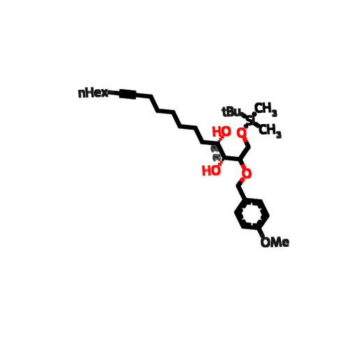 CCCCCCC#CCCCCCC[C@H](O)[C@@H](O)C(CO[Si](C)(C)C(C)(C)C)OCc1ccc(OC)cc1